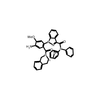 COc1cc(-n2nc(C(=O)N(c3ccccc3)c3ccccc3)c3ccccc32)c(C(=O)N2Cc3ccccc3C[C@H]2CN)cc1N